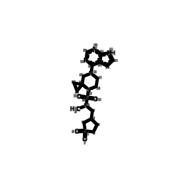 CN(CC1CCS(=O)(=O)C1)S(=O)(=O)N1CCN(c2ncnc3[nH]ccc23)CC12CC2